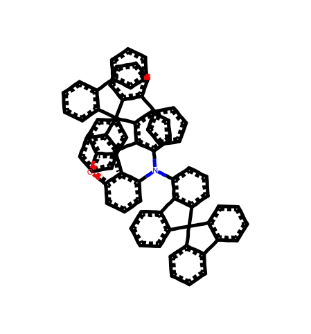 c1ccc(-c2ccccc2C2(c3ccccc3-c3ccccc3)c3ccccc3-c3c(N(c4cccc5c4-c4ccccc4C54c5ccccc5-c5ccccc54)c4cccc5oc6ccccc6c45)cccc32)cc1